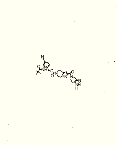 CC(C)(C)C(=O)Nc1cc(C#N)ccc1COC(=O)N1CCc2cc(C(=O)N3CCc4[nH]nnc4C3)nn2CC1